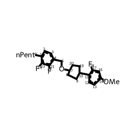 CCCCCc1ccc(COC2CCC(c3ccc(OC)cc3F)CC2)c(F)c1F